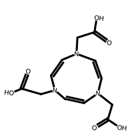 O=C(O)CN1C=CN(CC(=O)O)C=CN(CC(=O)O)C=C1